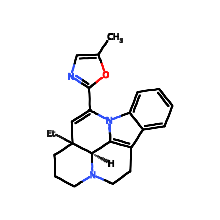 CCC12C=C(c3ncc(C)o3)n3c4c(c5ccccc53)CCN(CCC1)[C@H]42